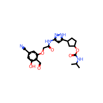 CC(C)NC(=O)OC1CCC(c2cc(NC(=O)COc3cc(C#N)cc(O)c3C=O)n[nH]2)C1